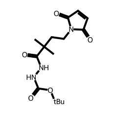 CC(C)(C)OC(=O)NNC(=O)C(C)(C)CCN1C(=O)C=CC1=O